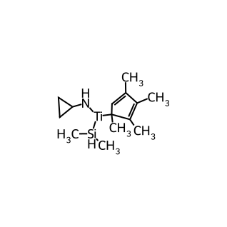 CC1=C[C](C)([Ti]([NH]C2CC2)[SiH](C)C)C(C)=C1C